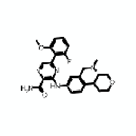 COc1cccc(F)c1-c1cnc(C(N)=O)c(Nc2ccc(C3CCOCC3)c(CN(C)C)c2)n1